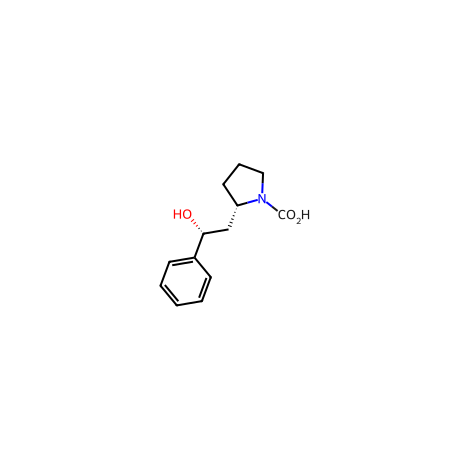 O=C(O)N1CCC[C@H]1C[C@@H](O)c1ccccc1